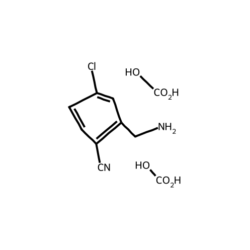 N#Cc1ccc(Cl)cc1CN.O=C(O)O.O=C(O)O